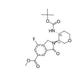 COC(=O)c1cc(F)c2c(c1)C(=O)N([C@@H]1COCC[C@H]1NC(=O)OC(C)(C)C)C2